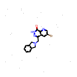 O=c1[nH]nc(CN2Cc3ccccc3C2)c2cc(Br)cnc12